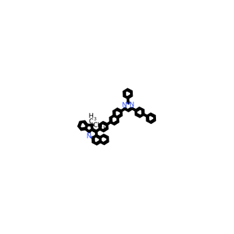 CC1(C)c2ccccc2-c2nc3ccc4ccccc4c3c(-c3ccc(-c4ccc5cc(-c6cc(-c7ccc(-c8ccccc8)cc7)nc(-c7ccccc7)n6)ccc5c4)cc3)c21